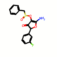 NC1=C(OS(=O)Cc2ccccc2)C(=O)C(c2cccc(F)c2)O1